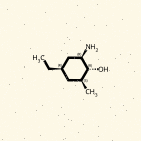 CC[C@H]1C[C@@H](N)[C@H](O)[C@@H](C)C1